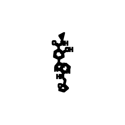 O=C(NC1CC1)c1ccc(-c2cnc3c(NCc4ccco4)nccn23)cc1O